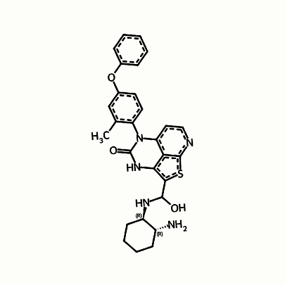 Cc1cc(Oc2ccccc2)ccc1N1C(=O)Nc2c(C(O)N[C@@H]3CCCC[C@H]3N)sc3nccc1c23